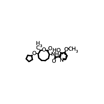 COc1ccnc(C(=O)N[C@H]2CCCC[C@@H](OC3CCCC3)[C@H](C)OC2=O)c1O